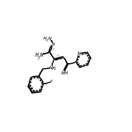 N=C(/C=C(NCc1ccccc1F)/C(N)=N/N)c1ccccn1